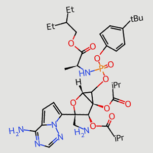 CCC(CC)COC(=O)[C@H](C)NP(=O)(Oc1ccc(C(C)(C)C)cc1)OC1[C@H]2O[C@@](CN)(c3ccc4c(N)ncnn34)[C@H](OC(=O)C(C)C)[C@@]12OC(=O)C(C)C